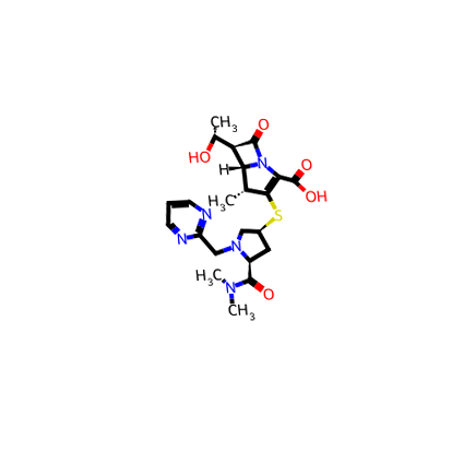 C[C@@H](O)[C@H]1C(=O)N2C(C(=O)O)=C(S[C@H]3C[C@@H](C(=O)N(C)C)N(Cc4ncccn4)C3)[C@H](C)[C@H]12